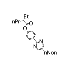 CCCCCCCCCc1cnc(-c2ccc(OC(=O)C(CC)CCC)cc2)nc1